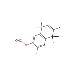 CC1=CC(C)(C)c2cc(OC=O)c(F)cc2C1(C)C